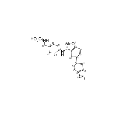 COc1ccc(-c2ccc(C(F)(F)F)cc2)cc1CNC1CCC(CNC(=O)O)CC1